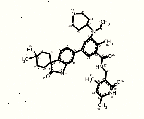 CCN(c1cc(-c2ccc3c(c2)NC(=O)C32CCC(C)(O)CC2)cc(C(=O)NCc2c(C)cc(C)[nH]c2=O)c1C)C1CCOCC1